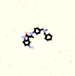 C/C(Nc1ccc(CN(C)Cc2ccccc2)cc1)=C1/C(=O)Nc2ccc(N)cc21